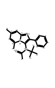 CC(=O)N(c1c(-c2ccccc2)nc2cc(C)cc(C)n12)C(C)(C)C